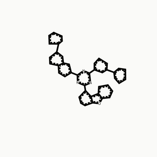 c1ccc(-c2cccc(-c3nc(-c4ccc5ccc(-c6ccccc6)cc5c4)nc(-c4cccc5oc6ccccc6c45)n3)c2)cc1